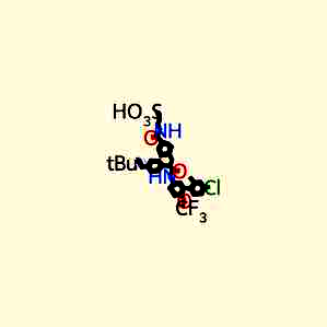 Cc1cc(Cl)ccc1-c1cc(NC(=O)C(Cc2ccc(C(=O)NCCS(=O)(=O)O)cc2)c2ccc(/C=C/C(C)(C)C)cc2)ccc1OC(F)(F)F